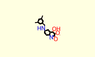 COc1c(O)c2cc(NCc3cc(C)cc(C)c3)ccc2n(C)c1=O